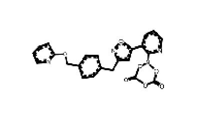 O=C1OC(=O)ON(c2ncccc2-c2cc(Cc3ccc(COc4ccccn4)cc3)no2)O1